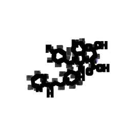 O=C(O)/C=C(/C(=O)O)N1c2ccncc2N(Cc2ccc(F)cc2)C1NC1CCN(CCNc2ncccn2)CC1